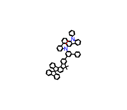 CC1(C)c2cc(-c3cc(-c4ccccc4)cc(N(c4ccc5c(c4)c4ccccc4n5-c4ccccc4)c4ccccc4-c4ccccc4)c3)ccc2-c2c1ccc1c2-c2ccccc2C12c1ccccc1-c1ccccc12